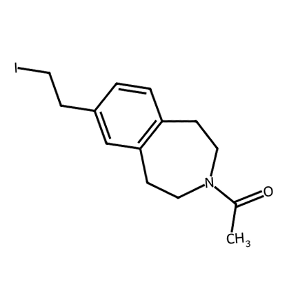 CC(=O)N1CCc2ccc(CCI)cc2CC1